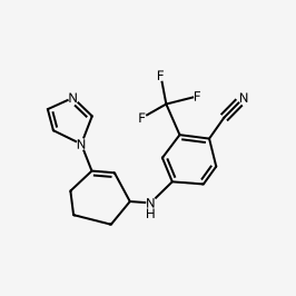 N#Cc1ccc(NC2C=C(n3ccnc3)CCC2)cc1C(F)(F)F